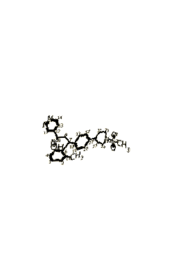 Cc1ccccc1C(C/C(=N\O)c1ccnnc1)c1ccc(C2CCN(S(C)(=O)=O)CC2)cc1